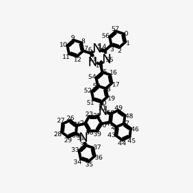 c1ccc(-c2nc(-c3ccccc3)nc(-c3ccc4cc(-n5c6cc7c8ccccc8n(-c8ccccc8)c7cc6c6c7ccccc7ccc65)ccc4c3)n2)cc1